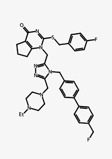 CCN1CCN(Cc2nnc(Cn3c(SCc4ccc(F)cc4)nc(=O)c4c3CCC4)n2Cc2ccc(-c3ccc(CF)cc3)cc2)CC1